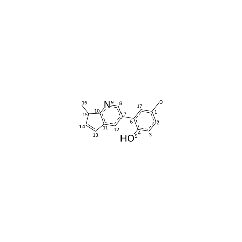 Cc1ccc(O)c(-c2cnc3c(c2)C=CC3C)c1